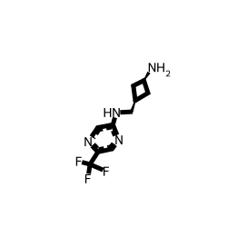 N[C@H]1C[C@@H](CNc2cnc(C(F)(F)F)cn2)C1